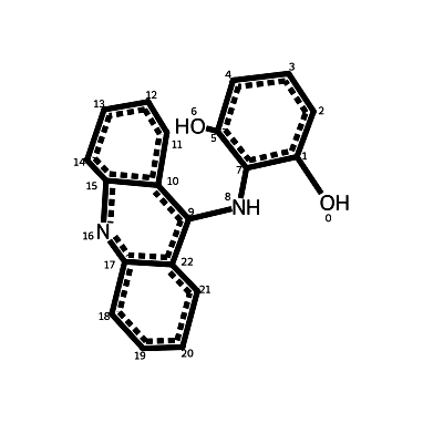 Oc1cccc(O)c1Nc1c2ccccc2nc2ccccc12